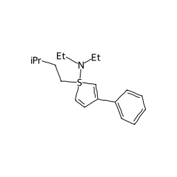 CCN(CC)S1(CCC(C)C)C=CC(c2ccccc2)=C1